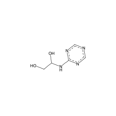 OCC(O)Nc1ncncn1